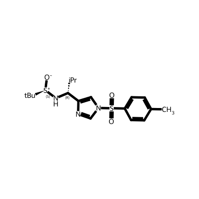 Cc1ccc(S(=O)(=O)n2cnc([C@H](N[S@+]([O-])C(C)(C)C)C(C)C)c2)cc1